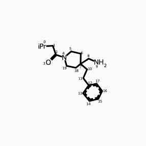 CC(C)CC(=O)N1CCC(CN)(CCc2ccccc2)CC1